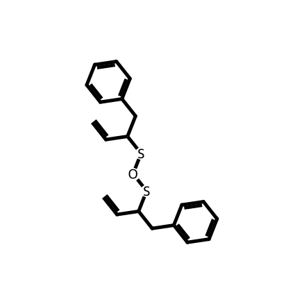 C=CC(Cc1ccccc1)SOSC(C=C)Cc1ccccc1